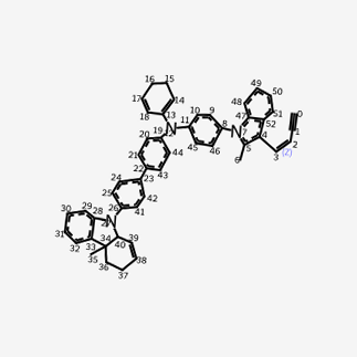 C#C/C=C\c1c(C)n(-c2ccc(N(C3=CCCC=C3)c3ccc(-c4ccc(N5c6ccccc6C6(C)CCC=CC56)cc4)cc3)cc2)c2ccccc12